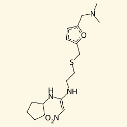 CN(C)Cc1ccc(CSCCNC(=C[N+](=O)[O-])NC2CCCC2)o1